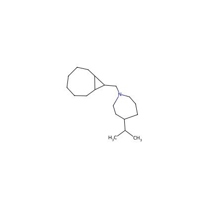 CC(C)C1CCCN(CC2C3CCCCCCC32)CC1